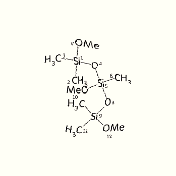 CO[Si](C)(C)O[Si](C)(OC)O[Si](C)(C)OC